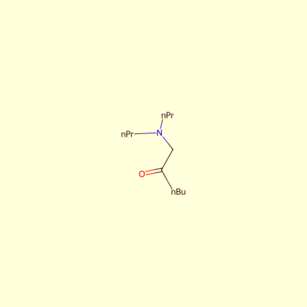 CCCCC(=O)CN(CCC)CCC